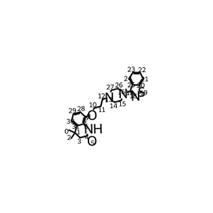 CC1(C)CC(=O)Nc2c(OCCCN3CCN(c4nsc5ccccc45)CC3)cccc21